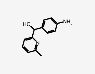 Cc1cccc(C(O)c2ccc(N)cc2)n1